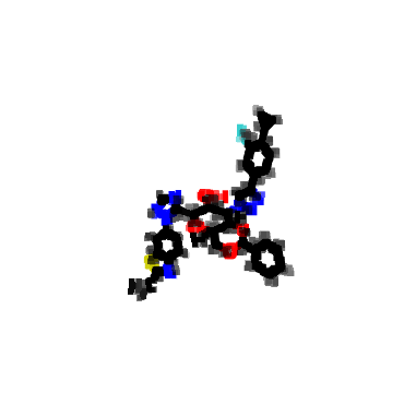 Cc1nc2ccc(-n3ncnc3[C@@H]3O[C@@H]4COC(c5ccccc5)O[C@@H]4[C@H](n4cc(-c5ccc(C6CC6)c(F)c5)nn4)[C@H]3O)cc2s1